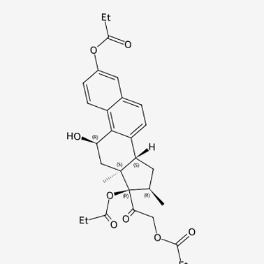 CCC(=O)OCC(=O)[C@@]1(OC(=O)CC)[C@H](C)C[C@H]2c3ccc4cc(OC(=O)CC)ccc4c3[C@H](O)C[C@@]21C